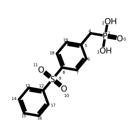 O=P(O)(O)Cc1ccc(S(=O)(=O)c2ccccc2)cc1